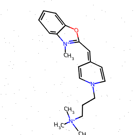 C[n+]1c(C=C2C=CN(CCC[N+](C)(C)C)C=C2)oc2ccccc21